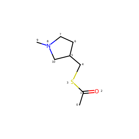 CC(=O)SCC1CCN(C)C1